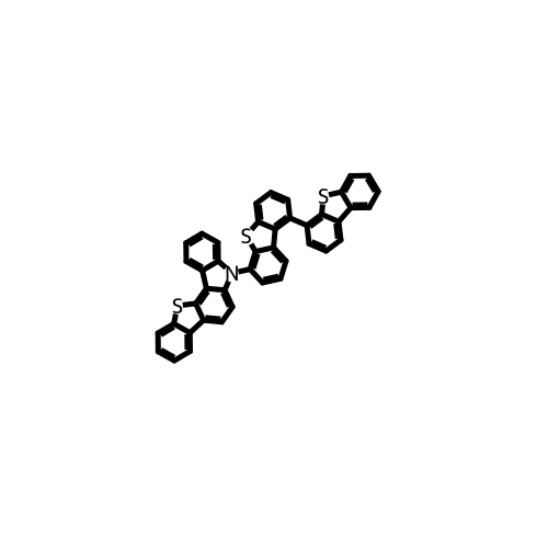 c1ccc2c(c1)sc1c(-c3cccc4sc5c(-n6c7ccccc7c7c8sc9ccccc9c8ccc76)cccc5c34)cccc12